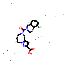 O=C(O)c1cc2n(n1)CCCN(C(=O)N1CCc3c(Cl)cccc3C1)C2